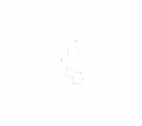 Cc1ccc(C)c2[nH]c(CC(C)C3CN(C(=O)O)CCO3)nc12